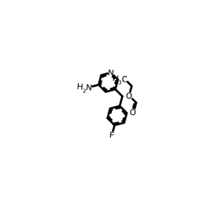 CCOC=O.Nc1cncc(Cc2ccc(F)cc2)c1